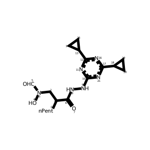 CCCCCC(CN(O)C=O)C(=O)NNc1nc(C2CC2)nc(C2CC2)n1